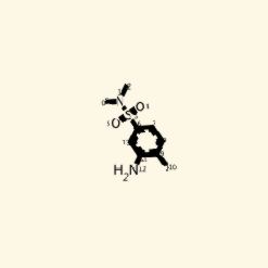 CN(C)S(=O)(=O)c1ccc(I)c(N)c1